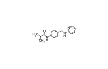 C=C(C)C(=O)Nc1ccc(CNc2ccccn2)cc1